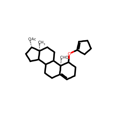 CC(=O)O[C@H]1CCC2C3CCC4=CCCC(OC5=CCCC5)[C@]4(C=O)C3CC[C@@]21C